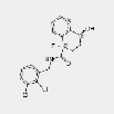 O=C(NCc1cccc(Cl)c1Cl)[C@]1(F)CC[C@H](O)c2ncccc21